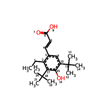 CCc1c(C=CC(=O)O)cc(C(C)(C)C)c(O)c1C(C)(C)C